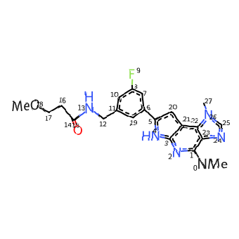 CNc1nc2[nH]c(-c3cc(F)cc(CNC(=O)CCOC)c3)cc2c2c1ncn2C